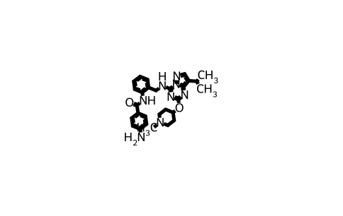 CC(C)c1cnn2c(NCc3ccccc3NC(=O)c3ccc(N)cc3)nc(OC3CCN(C)CC3)nc12